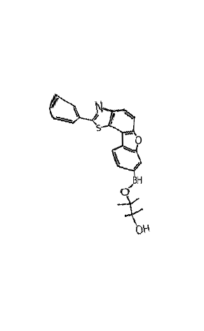 CC(C)(O)C(C)(C)OBc1ccc2c(c1)oc1ccc3nc(-c4ccccc4)sc3c12